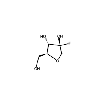 OC[C@@H]1O[CH][C@@](O)(F)[C@H]1O